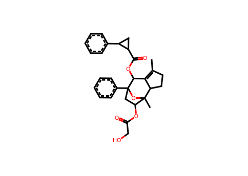 CC1=C2C(OC(=O)C3CC3c3ccccc3)C3(c4ccccc4)CC(OC(=O)CO)C(C)(O3)C2CC1